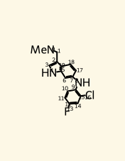 CNCc1c[nH]c2cc(Nc3ccc(F)cc3Cl)ccc12